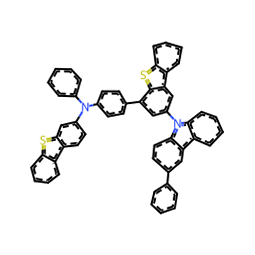 c1ccc(-c2ccc3c(c2)c2ccccc2n3-c2cc(-c3ccc(N(c4ccccc4)c4ccc5c(c4)sc4ccccc45)cc3)c3sc4ccccc4c3c2)cc1